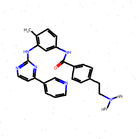 CCCN(CCC)CCc1ccc(C(=O)Nc2ccc(C)c(Nc3nccc(-c4cccnc4)n3)c2)cc1